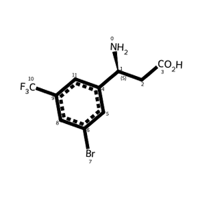 N[C@@H](CC(=O)O)c1cc(Br)cc(C(F)(F)F)c1